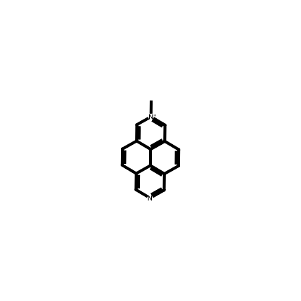 C[n+]1cc2ccc3cncc4ccc(c1)c2c34